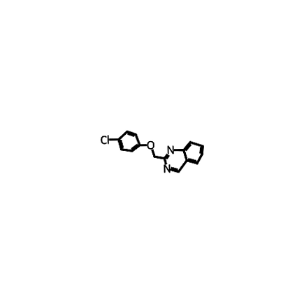 Clc1ccc(OCc2ncc3ccccc3n2)cc1